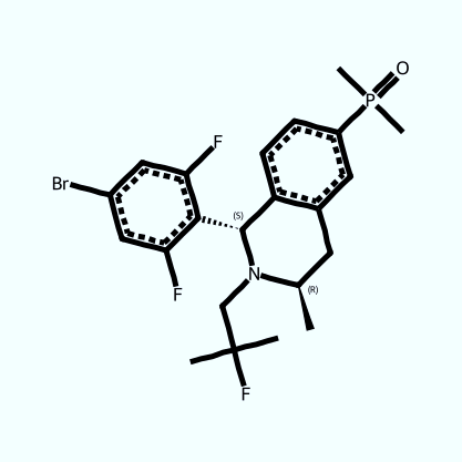 C[C@@H]1Cc2cc(P(C)(C)=O)ccc2[C@@H](c2c(F)cc(Br)cc2F)N1CC(C)(C)F